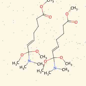 COC(=O)CCC/C=C/C(OC)(OC)N(C)C.COC(=O)CCC/C=C/C(OC)(OC)N(C)C